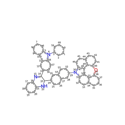 c1ccc(-n2c3ccccc3c3cc(C4=Nc5ccccc5NC4c4ccc5cc(-n6c7ccc8cccc9oc%10cccc%11ccc6c(c%11%10)c7c89)ccc5c4)ccc32)cc1